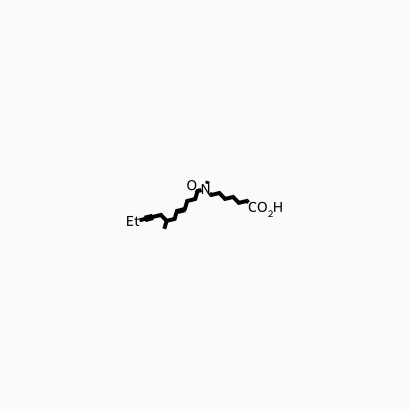 CCC#CCC(C)C/C=C/CCC(=O)N(C)CCCCCCC(=O)O